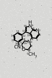 C[C@H]1CN(c2ccnc3[nH]cc(-c4cccc(C#N)c4)c23)CCO1